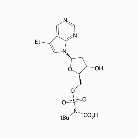 CCc1cn([C@H]2C[C@H](O)[C@@H](COS(=O)(=O)N(C(=O)O)C(C)(C)C)O2)c2ncncc12